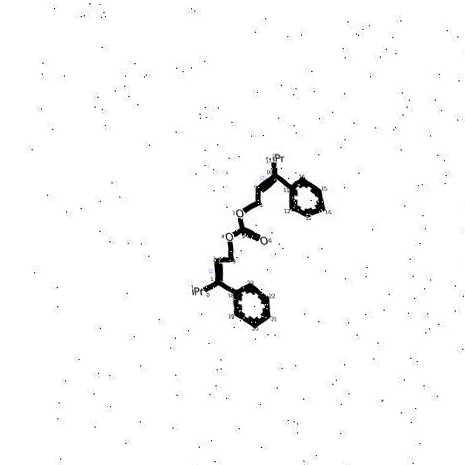 CC(C)/C(=C/COC(=O)OC/C=C(\c1ccccc1)C(C)C)c1ccccc1